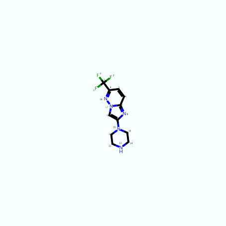 FC(F)(F)c1ccc2nc(N3CCNCC3)cn2n1